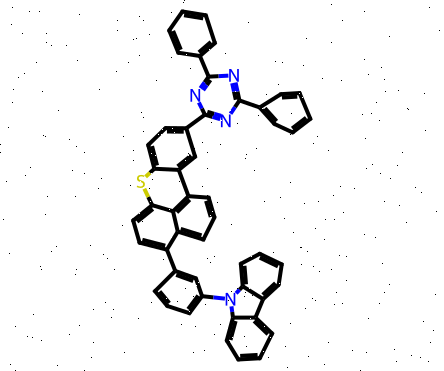 c1ccc(-c2nc(-c3ccccc3)nc(-c3ccc4c(c3)-c3cccc5c(-c6cccc(-n7c8ccccc8c8ccccc87)c6)ccc(c35)S4)n2)cc1